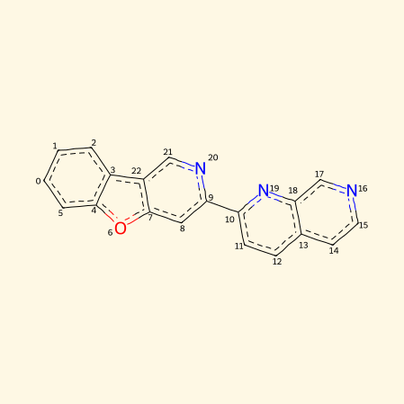 c1ccc2c(c1)oc1cc(-c3ccc4ccncc4n3)ncc12